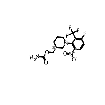 NC(=O)OC[C@H]1CCCN(c2c([N+](=O)[O-])ccc(F)c2C(F)(F)F)C1